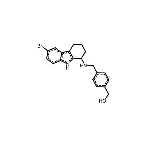 OCc1ccc(CNC2CCCc3c2[nH]c2ccc(Br)cc32)cc1